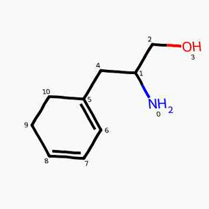 NC(CO)CC1=CC=CCC1